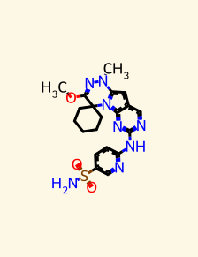 COC1=NN(C)c2cc3cnc(Nc4ccc(S(N)(=O)=O)cn4)nc3n2C12CCCCC2